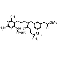 CCCCCNc1nc(N)nc(C)c1CCCN(Cc1cccc(CC(=O)OC)c1)C(=O)CCN(C)C